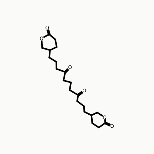 O=C(CCCC(=O)CCCC1CCC(=O)OC1)CCCC1CCC(=O)OC1